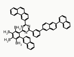 Bc1c(B)c(B)c(-c2nc(-c3cccc(-c4ccc5cc(-c6cccc7ccccc67)ccc5c4)c3)nc(-c3ccc4ccc5ccccc5c4c3)n2)c(-c2ccc3ccccc3c2)c1B